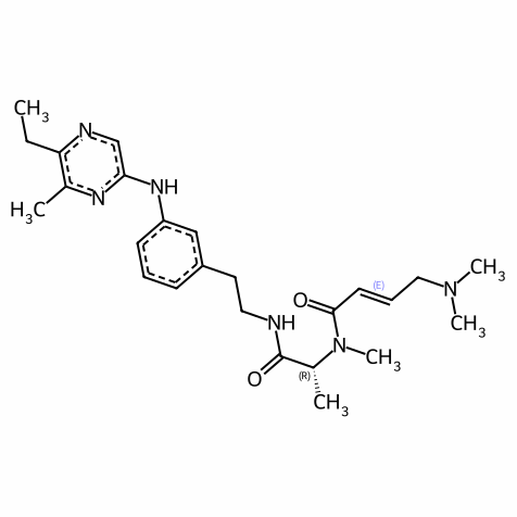 CCc1ncc(Nc2cccc(CCNC(=O)[C@@H](C)N(C)C(=O)/C=C/CN(C)C)c2)nc1C